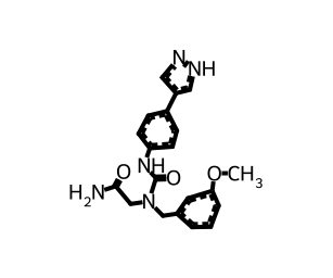 COc1cccc(CN(CC(N)=O)C(=O)Nc2ccc(-c3cn[nH]c3)cc2)c1